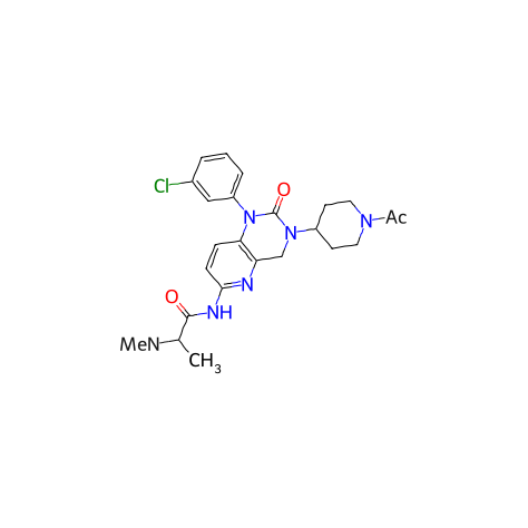 CNC(C)C(=O)Nc1ccc2c(n1)CN(C1CCN(C(C)=O)CC1)C(=O)N2c1cccc(Cl)c1